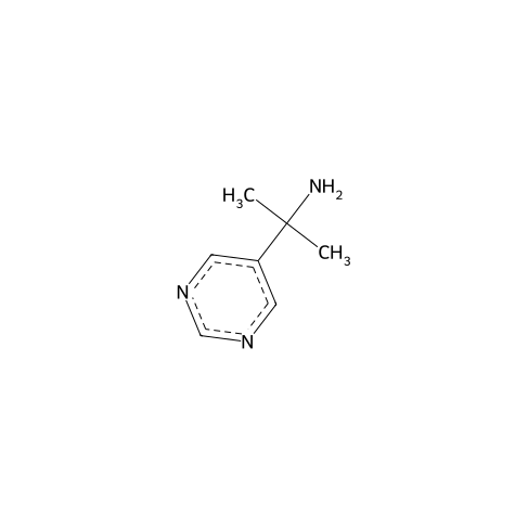 CC(C)(N)c1cncnc1